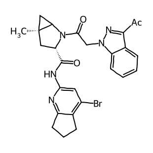 CC(=O)c1nn(CC(=O)N2C3C[C@]3(C)C[C@H]2C(=O)Nc2cc(Br)c3c(n2)CCC3)c2ccccc12